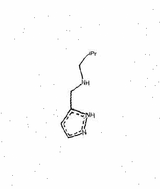 CC(C)CNCc1ccn[nH]1